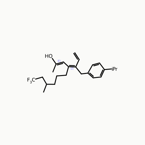 C=C/C(Cc1ccc(C(C)C)cc1)=C(\C=C(/C)O)CCCC(C)CC(F)(F)F